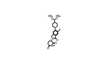 CCCCOC(OCCCC)C1CCN(c2cc3c(cc2F)C(=O)N([C@H]2CCC(=O)NC2=O)C3)CC1